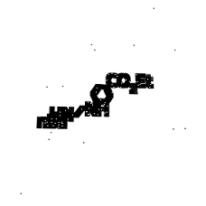 CCCCNCCNc1ccc(C(=O)OCC)cc1